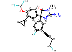 CN1C(=O)C(c2ccc(F)c(C#CCCF)c2)(c2ccc(OC(F)F)c(C3CC3)c2)N=C1N